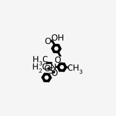 C=C(C)CN(c1ccc(C)cc1OCc1ccc(C(=O)O)cc1)S(=O)(=O)c1ccccc1